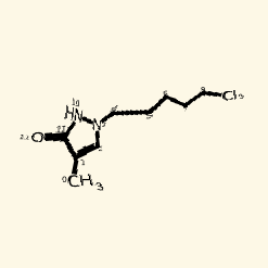 Cc1cn(CCCCCCl)[nH]c1=O